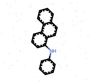 c1ccc(Nc2cccc3c2ccc2ccccc23)cc1